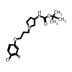 CC(C)(C)OC(=O)NC1CCN(CCCOc2ccc(Cl)c(F)c2)C1